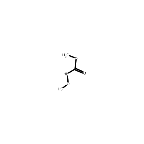 COC(=O)POS